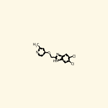 Cc1cc(OCc2nc3cc(Cl)c(Cl)cc3[nH]2)ccn1